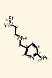 CCNCCNCc1ccc(C(C)C)nc1